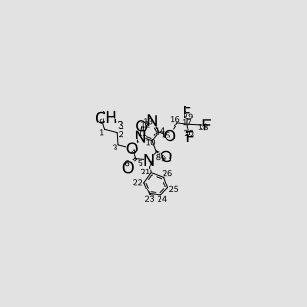 CCCCOC(=O)N(C(=O)c1nonc1OCC(F)(F)F)c1ccccc1